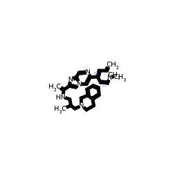 C=C/C=C(\C=C/N(C)C)c1cn2cc(C(=C)NCC(C)CN3CCc4ccccc4C3)nc2cn1